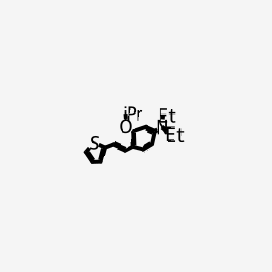 CCN(CC)c1ccc(C=Cc2cccs2)c(OC(C)C)c1